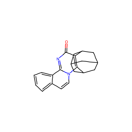 O=c1nc2c3ccccc3ccn2c2c1C1CC3CC(C1)CC2C3